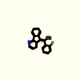 N#C/C(=C1\c2ccccc2-c2ncccc21)c1ccccc1F